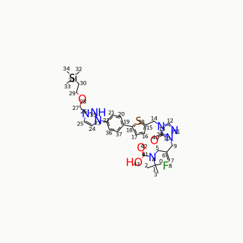 CC(C)(C)N(C/C(=C\F)Cn1ncn(Cc2ccc(-c3ccc(N4C=CN(COCC[Si](C)(C)C)N4)cc3)s2)c1=O)C(=O)O